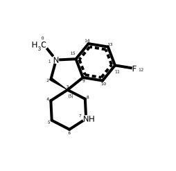 CN1C[C@@]2(CCCNC2)c2cc(F)ccc21